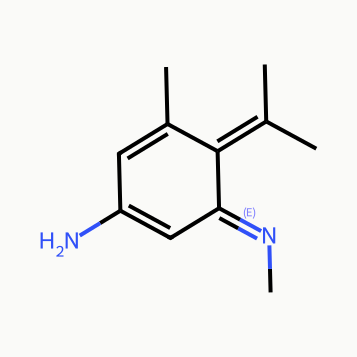 C/N=C1\C=C(N)C=C(C)C1=C(C)C